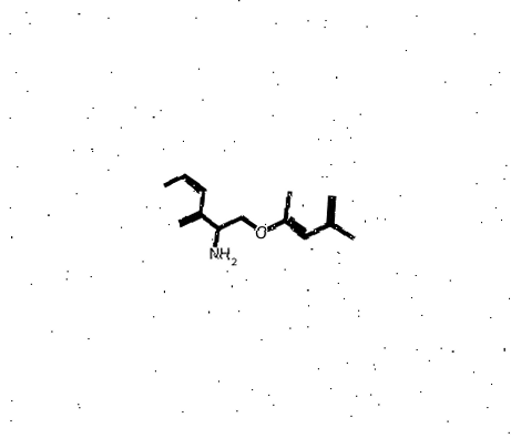 C=C(C)/C=C(\C)OCC(N)C(=C)/C=C\C